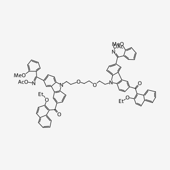 CCOc1ccc2ccccc2c1C(=O)c1ccc2c(c1)c1cc(C(=NOC(C)=O)c3ccccc3OC)ccc1n2CCOCCOCCn1c2ccc(C(=O)c3c(OCC)ccc4ccccc34)cc2c2cc(C(=NOC(C)=O)c3ccccc3OC)ccc21